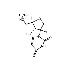 NC[C@]1(CO)OCC(F)(n2ccc(=O)[nH]c2=O)[C@@H]1O